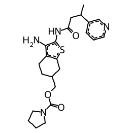 CC(CC(=O)Nc1sc2c(c1N)CCC(COC(=O)N1CCCC1)C2)c1cccnc1